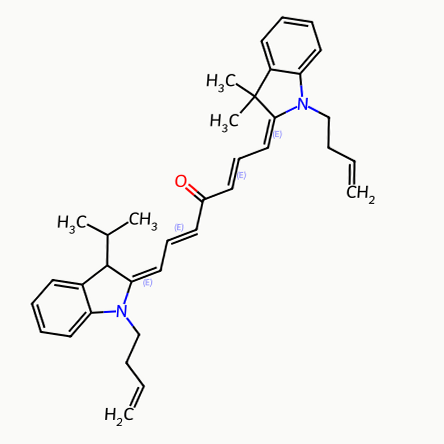 C=CCCN1/C(=C/C=C/C(=O)/C=C/C=C2/N(CCC=C)c3ccccc3C2(C)C)C(C(C)C)c2ccccc21